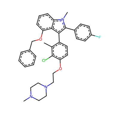 Cc1c(-c2c(-c3ccc(F)cc3)n(C)c3cccc(OCc4ccccc4)c23)ccc(OCCN2CCN(C)CC2)c1Cl